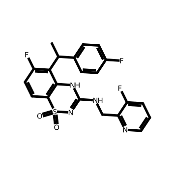 CC(c1ccc(F)cc1)c1c(F)ccc2c1NC(NCc1ncccc1F)=NS2(=O)=O